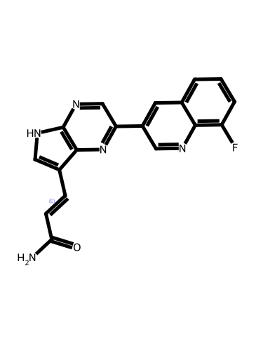 NC(=O)/C=C/c1c[nH]c2ncc(-c3cnc4c(F)cccc4c3)nc12